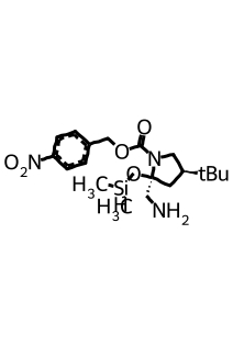 C[SiH](C)O[C@]1(CN)C[C@H](C(C)(C)C)CN1C(=O)OCc1ccc([N+](=O)[O-])cc1